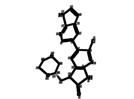 O=c1[nH]c2nc(Cl)c(-c3cnc4[nH]ccc4c3)cc2n1C[C@H]1COCCO1